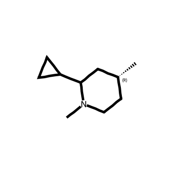 C[C@@H]1CCN(C)C(C2CC2)C1